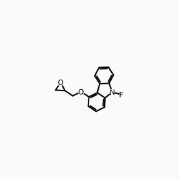 Fn1c2ccccc2c2c(OCC3CO3)cccc21